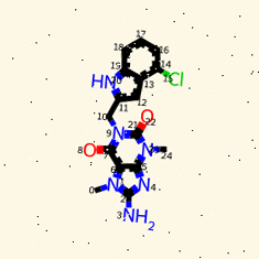 Cn1c(N)nc2c1c(=O)n(Cc1cc3c(Cl)cccc3[nH]1)c(=O)n2C